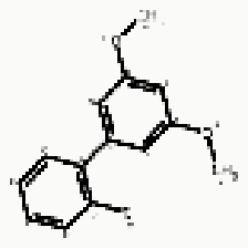 COc1cc(OC)cc(-c2ccc[c]c2Cl)c1